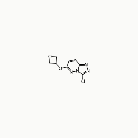 Clc1nnc2ccc(OC3COC3)nn12